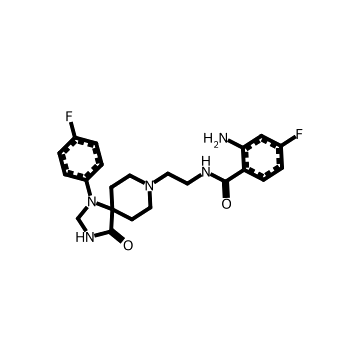 Nc1cc(F)ccc1C(=O)NCCN1CCC2(CC1)C(=O)NCN2c1ccc(F)cc1